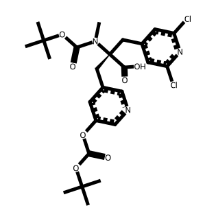 CN(C(=O)OC(C)(C)C)[C@](Cc1cncc(OC(=O)OC(C)(C)C)c1)(Cc1cc(Cl)nc(Cl)c1)C(=O)O